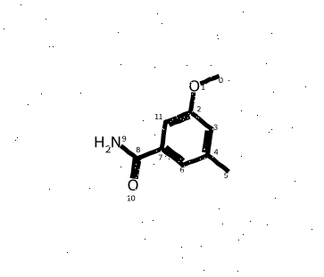 COc1cc(C)cc(C(N)=O)c1